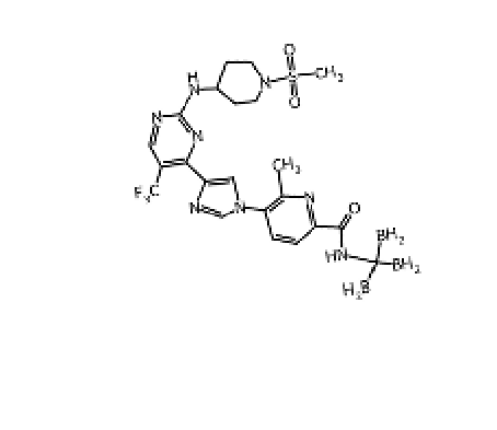 BC(B)(B)NC(=O)c1ccc(-n2cnc(-c3nc(NC4CCN(S(C)(=O)=O)CC4)ncc3C(F)(F)F)c2)c(C)n1